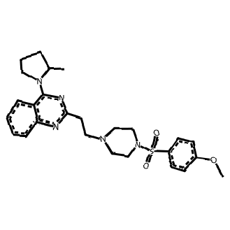 COc1ccc(S(=O)(=O)N2CCN(CCc3nc(N4CCCC4C)c4ccccc4n3)CC2)cc1